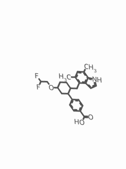 Cc1cc(C)c2[nH]ccc2c1CC1CCC(OCC(F)F)CC1c1ccc(C(=O)O)cc1